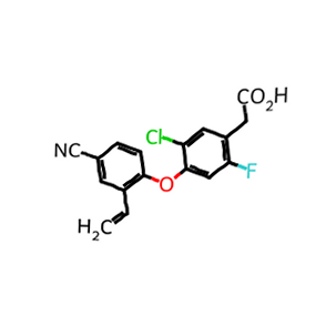 C=Cc1cc(C#N)ccc1Oc1cc(F)c(CC(=O)O)cc1Cl